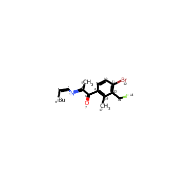 CCC(C)/C=C\N=C(/C)C(=O)c1ccc(Br)c(CF)c1C